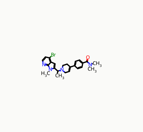 CC(c1cc2c(Br)ccnc2n1C)N1CC=C(c2ccc(C(=O)N(C)C)cc2)CC1